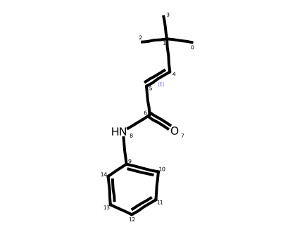 CC(C)(C)/C=C/C(=O)Nc1ccccc1